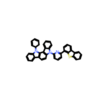 C1=CCC(n2c3ccccc3c3ccc4c(c5ccccc5n4-c4cccc(-c5cccc6c5sc5ccccc56)n4)c32)C=C1